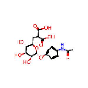 CC(=O)Nc1ccc(O[C@H]2O[C@H](CC(C(=O)O)C(=O)O)[C@@H](O)[C@H](O)[C@@H]2O)cc1